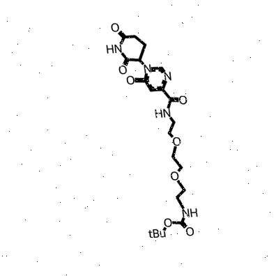 CC(C)(C)OC(=O)NCCOCCOCCNC(=O)c1cc(=O)n(C2CCC(=O)NC2=O)cn1